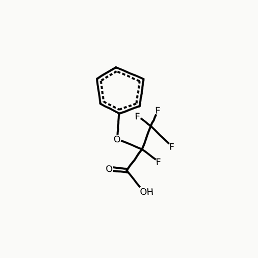 O=C(O)C(F)(Oc1ccccc1)C(F)(F)F